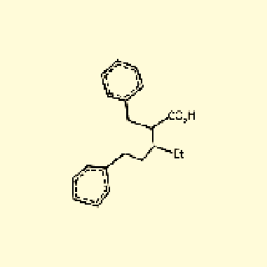 CCC(CCc1ccccc1)C(Cc1ccccc1)C(=O)O